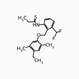 CCC(=S)Nc1cccc(C(F)F)c1COc1cc(C)c(CC)cc1C